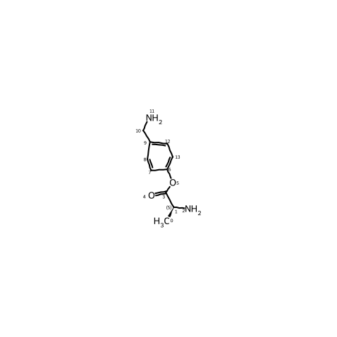 C[C@H](N)C(=O)Oc1ccc(CN)cc1